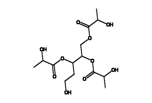 CC(O)C(=O)OCC(OC(=O)C(C)O)C(CCO)OC(=O)C(C)O